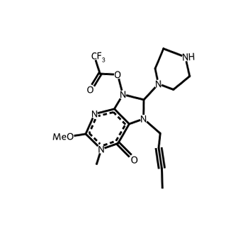 CC#CCN1c2c(nc(OC)n(C)c2=O)N(OC(=O)C(F)(F)F)C1N1CCNCC1